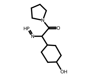 O=C(C(N=P)C1CCC(O)CC1)N1CCCC1